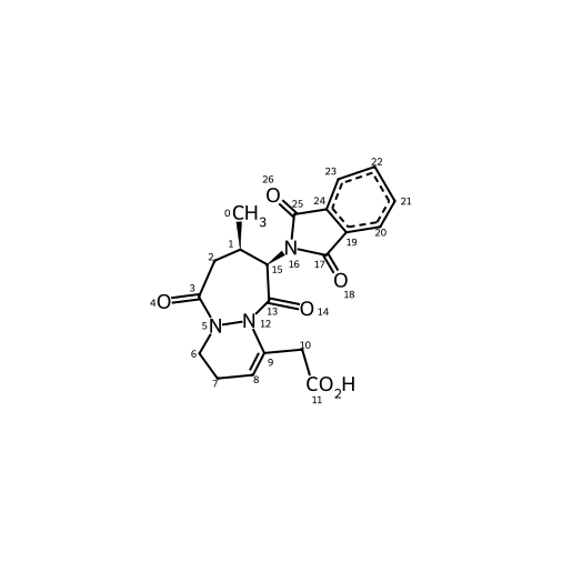 C[C@@H]1CC(=O)N2CCC=C(CC(=O)O)N2C(=O)[C@@H]1N1C(=O)c2ccccc2C1=O